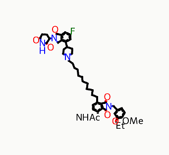 CCOc1cc(CN2C(=O)c3c(CCCCCCCCCCCCN4CCC(c5cc(F)cc6c5CN(C5CCC(=O)NC5=O)C6=O)CC4)ccc(NC(C)=O)c3C2=O)ccc1OC